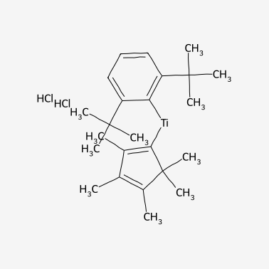 CC1=C(C)C(C)(C)[C]([Ti][c]2c(C(C)(C)C)cccc2C(C)(C)C)=C1C.Cl.Cl